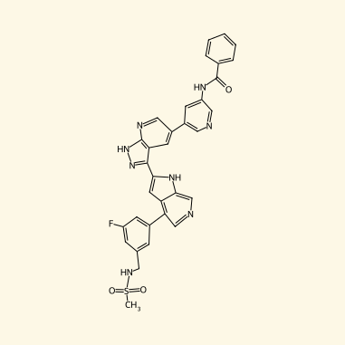 CS(=O)(=O)NCc1cc(F)cc(-c2cncc3[nH]c(-c4n[nH]c5ncc(-c6cncc(NC(=O)c7ccccc7)c6)cc45)cc23)c1